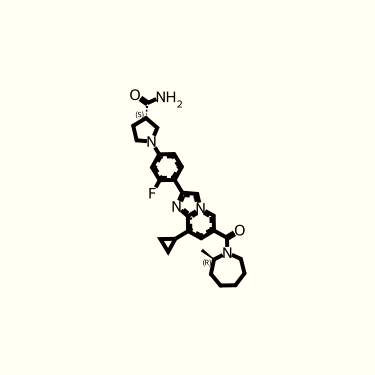 C[C@@H]1CCCCCN1C(=O)c1cc(C2CC2)c2nc(-c3ccc(N4CC[C@H](C(N)=O)C4)cc3F)cn2c1